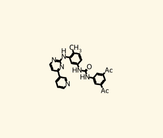 CC(=O)c1cc(NC(=O)Nc2ccc(C)c(Nc3nccc(-c4cccnc4)n3)c2)cc(C(C)=O)c1